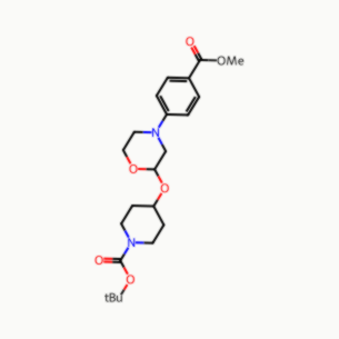 COC(=O)c1ccc(N2CCOC(OC3CCN(C(=O)OC(C)(C)C)CC3)C2)cc1